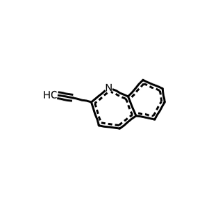 C#Cc1ccc2ccccc2n1